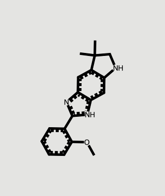 COc1ccccc1-c1nc2cc3c(cc2[nH]1)NCC3(C)C